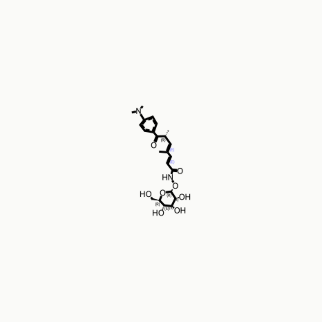 CC(/C=C/C(=O)NO[C@H]1O[C@H](CO)[C@@H](O)[C@H](O)[C@H]1O)=C\[C@@H](C)C(=O)c1ccc(N(C)C)cc1